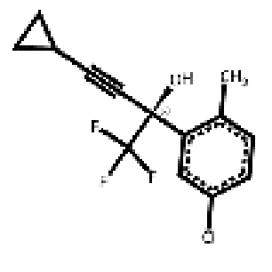 Cc1ccc(Cl)cc1[C@@](O)(C#CC1CC1)C(F)(F)F